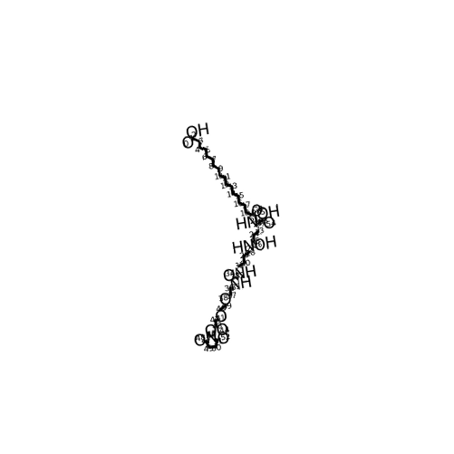 O=C(O)CCCCCCCCCCCCCCCCC(=O)N[C@@H](CCC(O)NCCCCNC(=O)NCCOCCOCC(=O)ON1C(=O)CCC1=O)C(=O)O